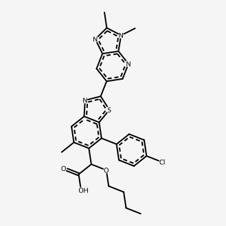 CCCCOC(C(=O)O)c1c(C)cc2nc(-c3cnc4c(c3)nc(C)n4C)sc2c1-c1ccc(Cl)cc1